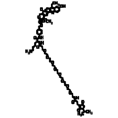 CCc1c2c(nc3ccc(O)cc13)-c1cc3c(c(=O)n1C2)COC(=O)[C@@]3(CC)OC(=O)OCc1ccc(NC(=O)[C@H](CCCCN)NC(=O)CCOCCOCCOCCOCCOCCOCCOCCOCCNC(=O)CCN2C(=O)CC(C(C)C)C2=O)cc1